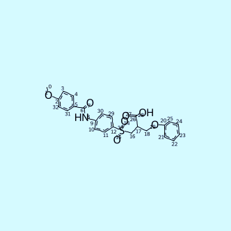 COc1ccc(C(=O)Nc2ccc(S(=O)(=O)CC(COc3ccccc3)C(=O)O)cc2)cc1